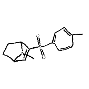 Cc1ccc(S(=O)(=O)C2=CC3CCC2N3C)cc1